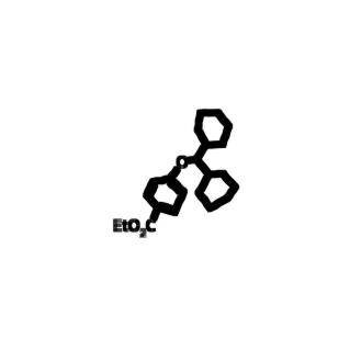 CCOC(=O)c1ccc(OC(C2CCCCC2)C2CCCCC2)cc1